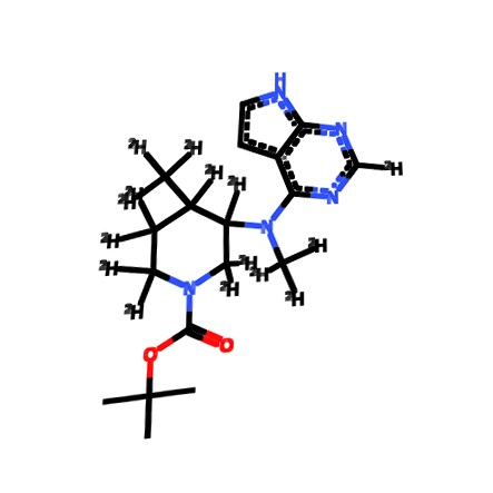 [2H]c1nc(N(C([2H])([2H])[2H])C2([2H])C([2H])([2H])N(C(=O)OC(C)(C)C)C([2H])([2H])C([2H])([2H])C2([2H])C([2H])([2H])[2H])c2cc[nH]c2n1